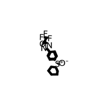 [O-][S+](c1ccc(-c2noc(C(F)(F)F)n2)cc1)C1CCCCC1